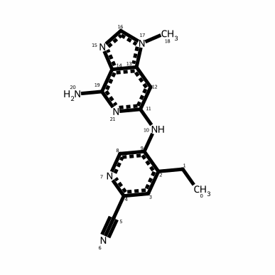 CCc1cc(C#N)ncc1Nc1cc2c(ncn2C)c(N)n1